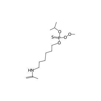 C=C(C)NCCCCCCOP(=S)(OOC)OC(C)C